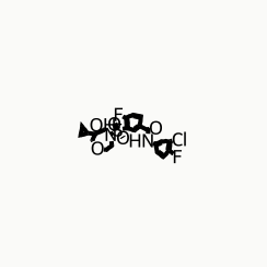 O=C(Nc1ccc(F)c(Cl)c1)c1ccc(F)c(S(=O)(=O)N2CCOCC(O)(C3CC3)C2)c1